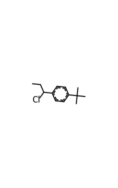 CCC(Cl)c1ccc(C(C)(C)C)cc1